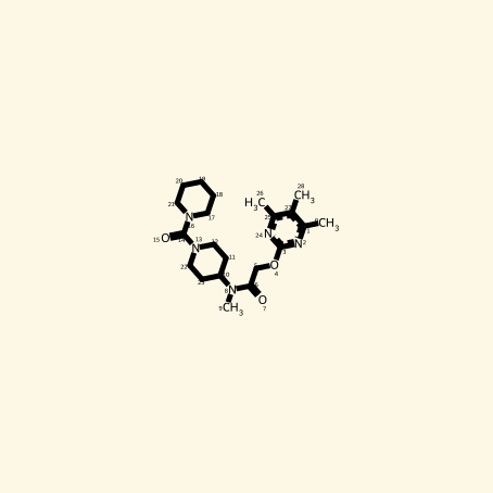 Cc1nc(OCC(=O)N(C)C2CCN(C(=O)N3CCCCC3)CC2)nc(C)c1C